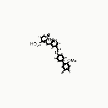 COc1cc(F)c(F)cc1-c1ccc(OCc2cncc(CN3C(C(=O)O)CCS3(=O)=O)c2)cc1